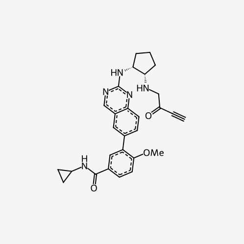 C#CC(=O)CN[C@H]1CCC[C@H]1Nc1ncc2cc(-c3cc(C(=O)NC4CC4)ccc3OC)ccc2n1